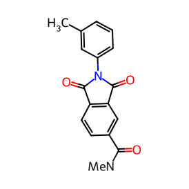 CNC(=O)c1ccc2c(c1)C(=O)N(c1cccc(C)c1)C2=O